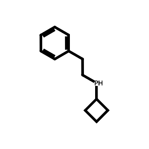 c1ccc(CCPC2CCC2)cc1